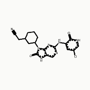 N#CCC1CCCC(n2c(=O)[nH]c3cnc(Nc4cc(Cl)c[nH]c4=O)nc32)C1